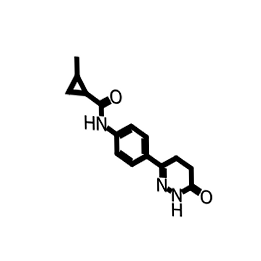 CC1CC1C(=O)Nc1ccc(C2=NNC(=O)CC2)cc1